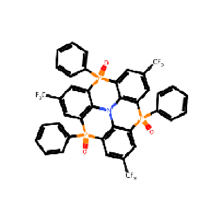 O=P1(c2ccccc2)c2cc(C(F)(F)F)cc3c2N2c4c1cc(C(F)(F)F)cc4P(=O)(c1ccccc1)c1cc(C(F)(F)F)cc(c12)P3(=O)c1ccccc1